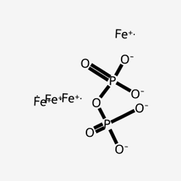 O=P([O-])([O-])OP(=O)([O-])[O-].[Fe+].[Fe+].[Fe+].[Fe+]